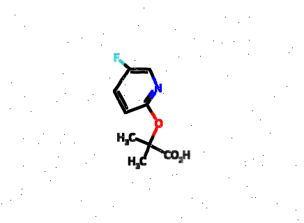 CC(C)(Oc1ccc(F)cn1)C(=O)O